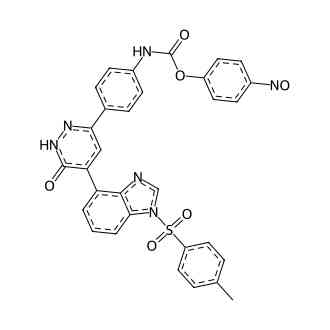 Cc1ccc(S(=O)(=O)n2cnc3c(-c4cc(-c5ccc(NC(=O)Oc6ccc(N=O)cc6)cc5)n[nH]c4=O)cccc32)cc1